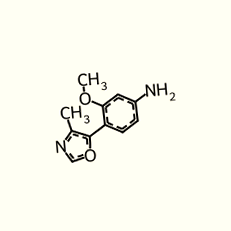 COc1cc(N)ccc1-c1ocnc1C